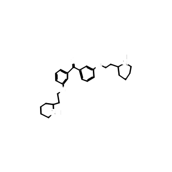 O=C(c1cccc(OCCC2CCCCN2)c1)c1cccc(OCCC2CCCCN2)c1